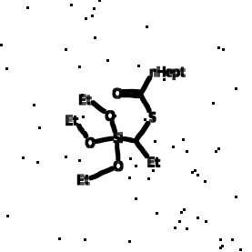 CCCCCCCC(=O)SC(CC)[Si](OCC)(OCC)OCC